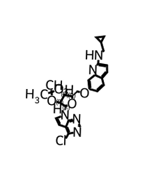 CC1(C)O[C@@H]2[C@H](O1)[C@@H](COc1ccc3ccc(NCC4CC4)nc3c1)O[C@H]2n1ccc2c(Cl)ncnc21